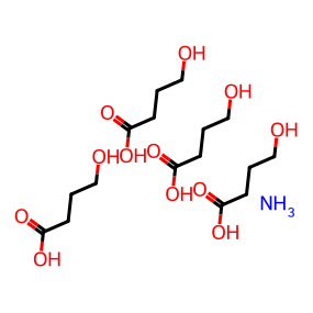 N.O=C(O)CCCO.O=C(O)CCCO.O=C(O)CCCO.O=C(O)CCCO